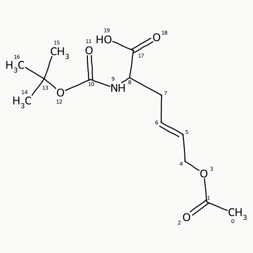 CC(=O)OCC=CCC(NC(=O)OC(C)(C)C)C(=O)O